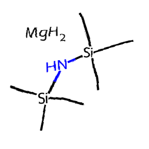 C[Si](C)(C)N[Si](C)(C)C.[MgH2]